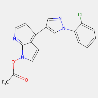 O=C(On1ccc2c(-c3cnn(-c4ccccc4Cl)c3)ccnc21)C(F)(F)F